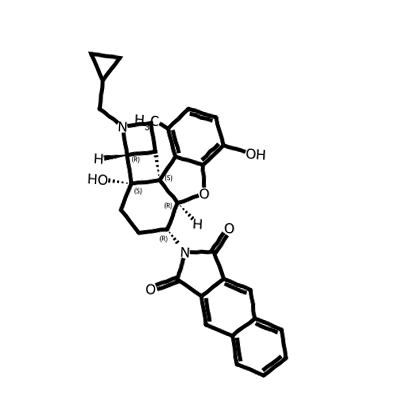 Cc1ccc(O)c2c1[C@]13C4CN(CC5CC5)[C@H]4[C@]1(O)CC[C@@H](N1C(=O)c4cc5ccccc5cc4C1=O)[C@@H]3O2